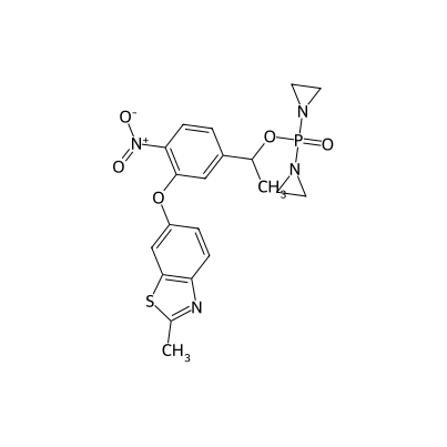 Cc1nc2ccc(Oc3cc(C(C)OP(=O)(N4CC4)N4CC4)ccc3[N+](=O)[O-])cc2s1